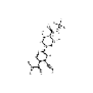 C[C@@H]1CN(c2ccc(C(=O)N(C)C)c(C#N)n2)C[C@H](C)N1C(=O)OC(C)(C)C